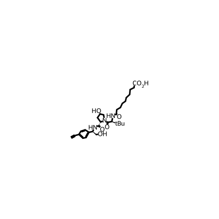 C#Cc1ccc([C@H](CO)NC(=O)[C@@H]2C[C@@H](O)CN2C(=O)[C@@H](NC(=O)CCCCCCCCC(=O)O)C(C)(C)C)cc1